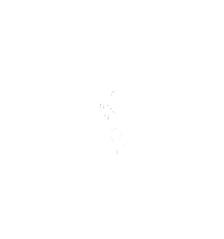 COc1ccc(C2CCc3nn(C45CC(F)(C4)C5)c(=O)n32)cc1